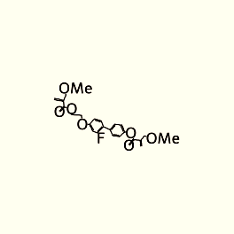 C=C(COC)C(=O)OCCOc1ccc(-c2ccc(OC(=O)C(=C)COC)cc2)c(F)c1